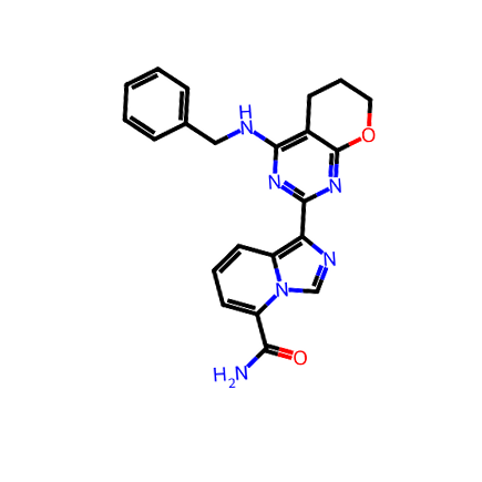 NC(=O)c1cccc2c(-c3nc(NCc4ccccc4)c4c(n3)OCCC4)ncn12